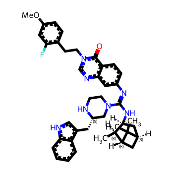 COc1ccc(CCn2cnc3cc(N=C(N[C@H]4C[C@H]5C[C@H]([C@H]4C)C5(C)C)N4CCN[C@@H](Cc5c[nH]c6ccccc56)C4)ccc3c2=O)c(F)c1